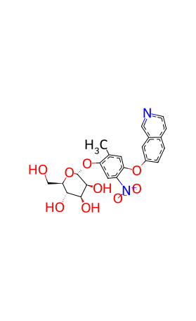 Cc1cc(Oc2ccc3ccncc3c2)c([N+](=O)[O-])cc1O[C@H]1O[C@H](CO)[C@@H](O)[C@H](O)[C@@H]1O